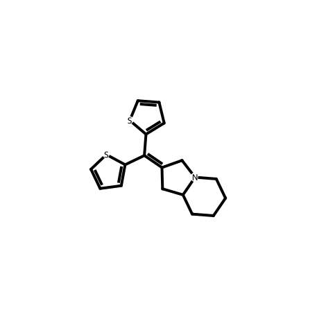 c1csc(C(=C2CC3CCCCN3C2)c2cccs2)c1